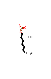 CCCCCCCCCCCCCO[SH](=O)=O.[LiH]